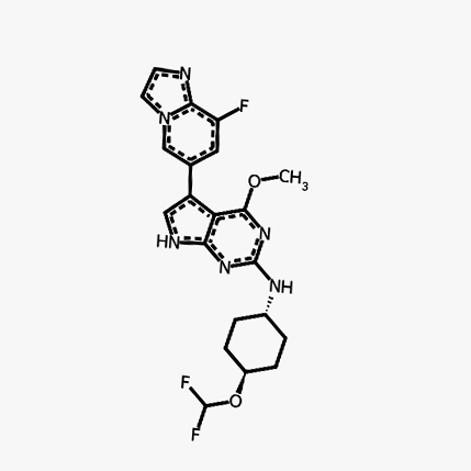 COc1nc(N[C@H]2CC[C@H](OC(F)F)CC2)nc2[nH]cc(-c3cc(F)c4nccn4c3)c12